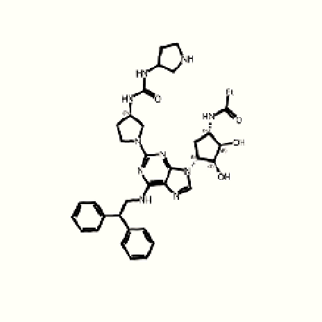 CCC(=O)N[C@H]1C[C@@H](n2cnc3c(NCC(c4ccccc4)c4ccccc4)nc(N4CC[C@@H](NC(=O)NC5CCNC5)C4)nc32)[C@H](O)[C@@H]1O